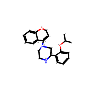 CC(C)Oc1ccccc1C1CN(C2=CCOc3ccccc32)CCN1